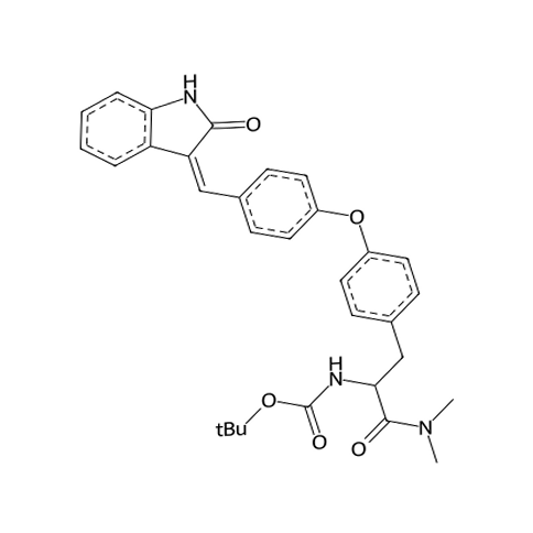 CN(C)C(=O)C(Cc1ccc(Oc2ccc(/C=C3\C(=O)Nc4ccccc43)cc2)cc1)NC(=O)OC(C)(C)C